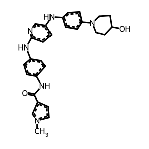 Cn1ccc(C(=O)Nc2ccc(Nc3ccc(Nc4ccc(N5CCC(O)CC5)cc4)cn3)cc2)c1